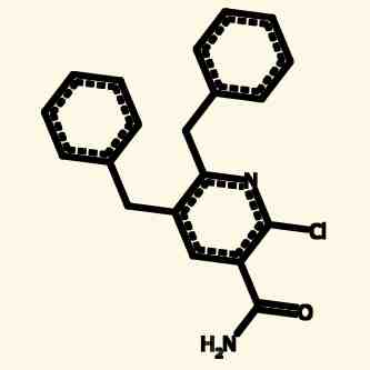 NC(=O)c1cc(Cc2ccccc2)c(Cc2ccccc2)nc1Cl